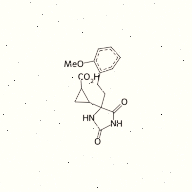 COc1ccccc1CCC1(C2CC2C(=O)O)NC(=O)NC1=O